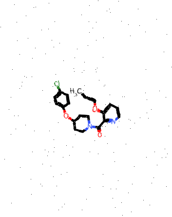 CCCOc1cccnc1C(=O)N1CCC(Oc2ccc(Cl)cc2)CC1